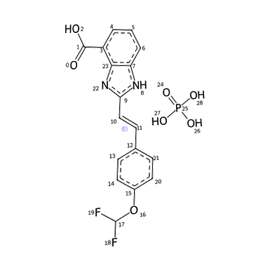 O=C(O)c1cccc2[nH]c(/C=C/c3ccc(OC(F)F)cc3)nc12.O=P(O)(O)O